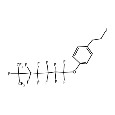 FC(F)(F)C(F)(C(F)(F)F)C(F)(F)C(F)(F)C(F)(F)C(F)(F)C(F)(F)Oc1ccc(CCI)cc1